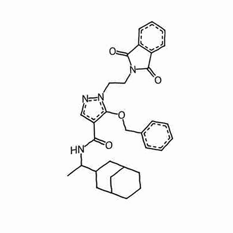 CC(NC(=O)c1cnn(CCN2C(=O)c3ccccc3C2=O)c1OCc1ccccc1)C1CC2CCCC(C2)C1